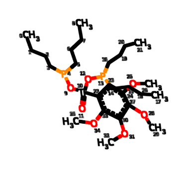 CCCCP(CCCC)[O][Ti](=[O])([O]P(CCCC)CCCC)[c]1cc(OC)c(OC)c(OC)c1OC